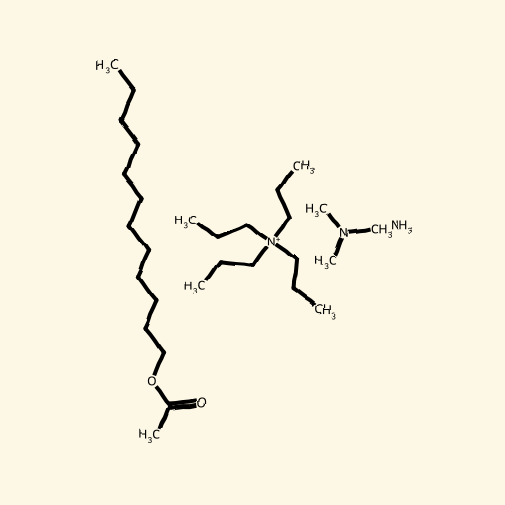 CCCCCCCCCCCCOC(C)=O.CCC[N+](CCC)(CCC)CCC.CN(C)C.N